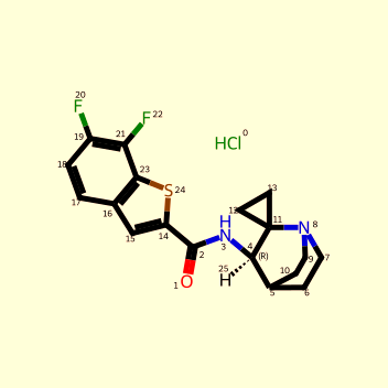 Cl.O=C(N[C@@H]1C2CCN(CC2)C12CC2)c1cc2ccc(F)c(F)c2s1